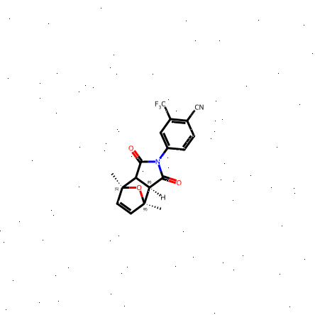 C[C@]12C=C[C@](C)(O1)C1C(=O)N(c3ccc(C#N)c(C(F)(F)F)c3)C(=O)[C@H]12